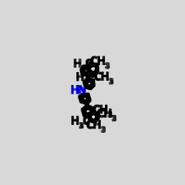 CC1(C)CCC(C)(C)c2cc(-c3ccc(Nc4cccc(-c5cccc6c5C(C)(C)CCC6(C)C)c4)cc3)ccc21